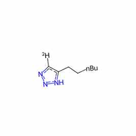 [2H]c1nn[nH]c1CCCCCC